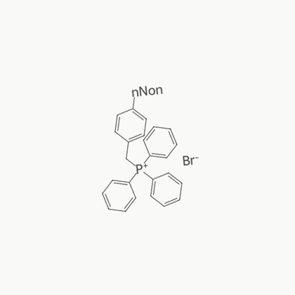 CCCCCCCCCc1ccc(C[P+](c2ccccc2)(c2ccccc2)c2ccccc2)cc1.[Br-]